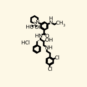 CCNc1cc(C(=O)N[C@@H](Cc2ccccc2)[C@@H](O)CNCCc2ccc(Cl)cc2Cl)cc(N2CCCCS2(O)O)c1.Cl